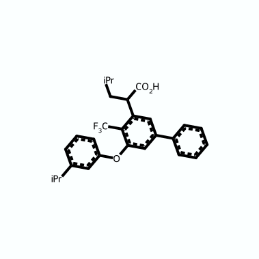 CC(C)CC(C(=O)O)c1cc(-c2ccccc2)cc(Oc2cccc(C(C)C)c2)c1C(F)(F)F